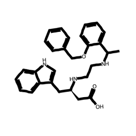 CC(NCCN[C@@H](CC(=O)O)Cc1c[nH]c2ccccc12)c1ccccc1OCc1ccccc1